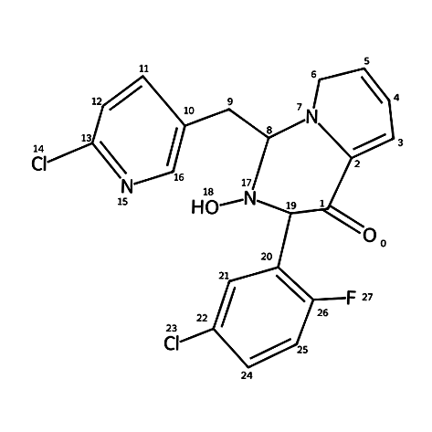 O=C1C2=CC=CCN2C(Cc2ccc(Cl)nc2)N(O)C1c1cc(Cl)ccc1F